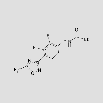 CCC(=O)NCc1ccc(-c2noc(C(F)(F)F)n2)c(F)c1F